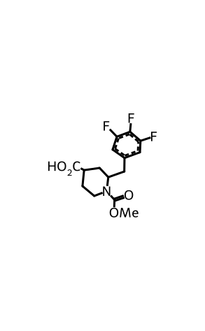 COC(=O)N1CCC(C(=O)O)CC1Cc1cc(F)c(F)c(F)c1